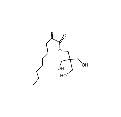 C=C(CCCCCCC)C(=O)OCC(CO)(CO)CO